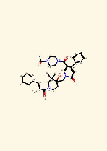 CC(=O)N1CCN(C(=O)c2cn(CC3(O)CCN(C(=O)[C@H](C)CC4CCCCC4)CC3(C)C)c(=O)cc2-c2ccccc2)CC1